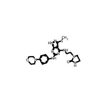 CSc1n[nH]c2nc(Nc3ccc(N4CCOCC4)cc3)nc(NCCN3CCNC3=O)c12